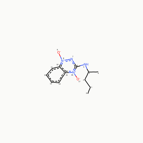 CCCC(C)Nc1n[n+]([O-])c2ccccc2[n+]1[O-]